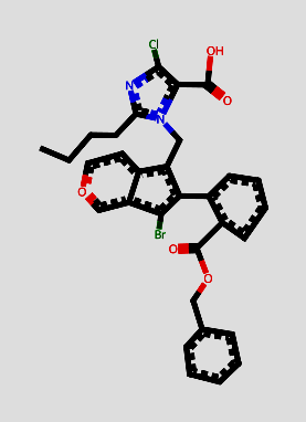 CCCCc1nc(Cl)c(C(=O)O)n1Cc1c2ccocc-2c(Br)c1-c1ccccc1C(=O)OCc1ccccc1